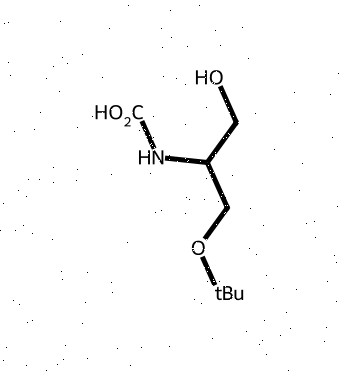 CC(C)(C)OCC(CO)NC(=O)O